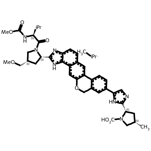 COC[C@H]1C[C@@H](c2nc3ccc4cc5c(cc4c3[nH]2)OCc2cc(-c3cnc([C@@H]4C[C@H](C)CN4C(=O)O)[nH]3)ccc2-5)N(C(=O)[C@@H](NC(=O)OC)C(C)C)C1.C[C](C)C